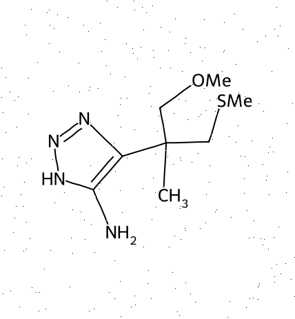 COCC(C)(CSC)c1nn[nH]c1N